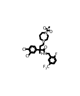 CC(CCN1CCCN(S(C)(=O)=O)CC1)(C(=O)NCc1cc(C(F)(F)F)ccc1F)c1ccc(Cl)c(Cl)c1